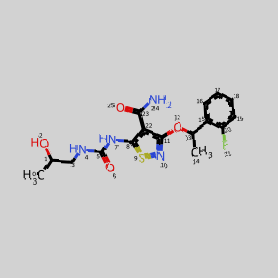 CC(O)CNC(=O)Nc1snc(OC(C)c2ccccc2F)c1C(N)=O